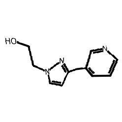 OCCn1ccc(-c2cccnc2)n1